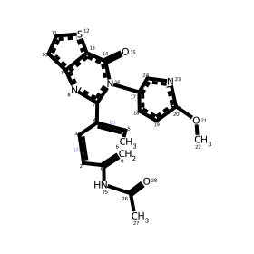 C=C(/C=C\C(=C/C)c1nc2ccsc2c(=O)n1-c1ccc(OC)nc1)NC(C)=O